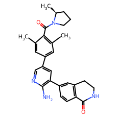 Cc1cc(-c2cnc(N)c(-c3ccc4c(c3)CCNC4=O)c2)cc(C)c1C(=O)N1CCC[C@@H]1C